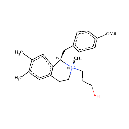 COc1ccc(C[C@@H]2c3cc(C)c(C)cc3CC[N@@+]2(C)CCCO)cc1